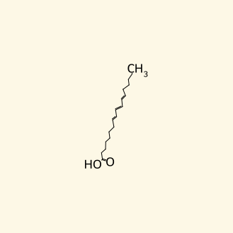 CCCCC/C=C/C=C/C=CCCCCCCC(=O)O